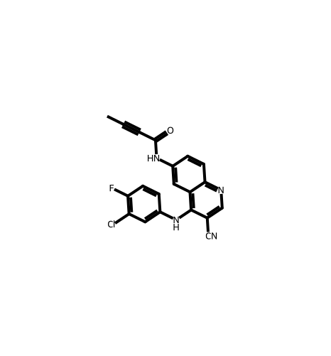 CC#CC(=O)Nc1ccc2ncc(C#N)c(Nc3ccc(F)c(Cl)c3)c2c1